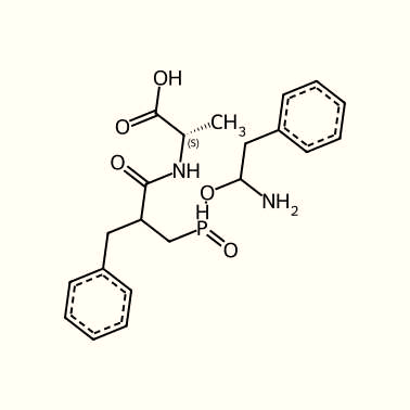 C[C@H](NC(=O)C(Cc1ccccc1)C[PH](=O)OC(N)Cc1ccccc1)C(=O)O